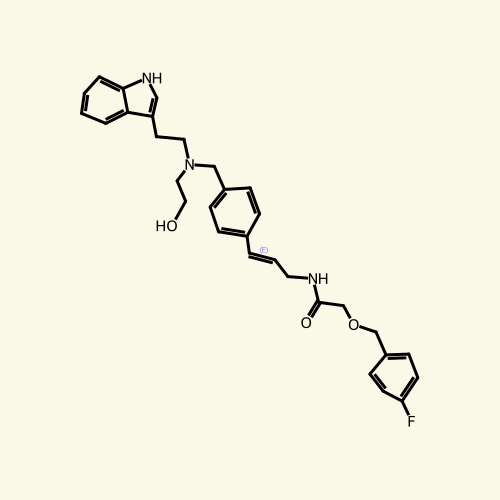 O=C(COCc1ccc(F)cc1)NC/C=C/c1ccc(CN(CCO)CCc2c[nH]c3ccccc23)cc1